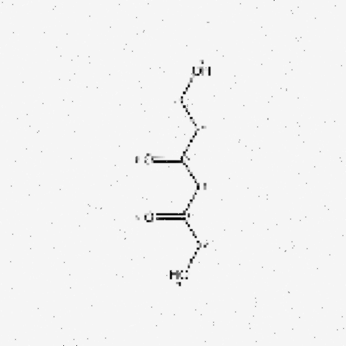 O=C(CO)CC(=O)CCO